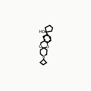 OC1(c2ccc3c(c2)COC2(CCN(C4CCC4)CC2)O3)CCCC1